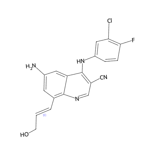 N#Cc1cnc2c(/C=C/CO)cc(N)cc2c1Nc1ccc(F)c(Cl)c1